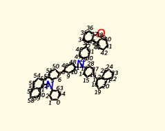 c1ccc(-n2c3cc(-c4ccc(N(c5ccc(-c6cccc7ccccc67)cc5)c5ccc(-c6cccc7oc8ccccc8c67)cc5)cc4)ccc3c3ccc4ccccc4c32)cc1